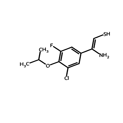 CC(C)Oc1c(F)cc(/C(N)=C/S)cc1Cl